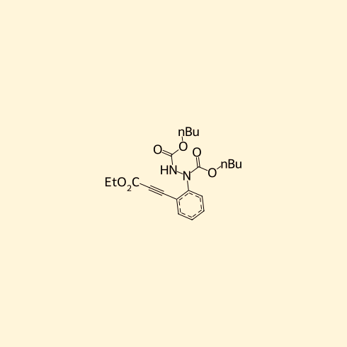 CCCCOC(=O)NN(C(=O)OCCCC)c1ccccc1C#CC(=O)OCC